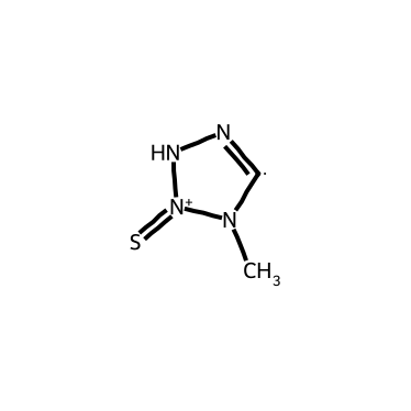 Cn1[c]n[nH][n+]1=S